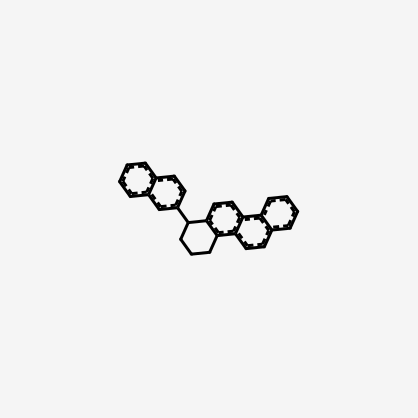 c1ccc2cc(C3CCCc4c3ccc3c4ccc4ccccc43)ccc2c1